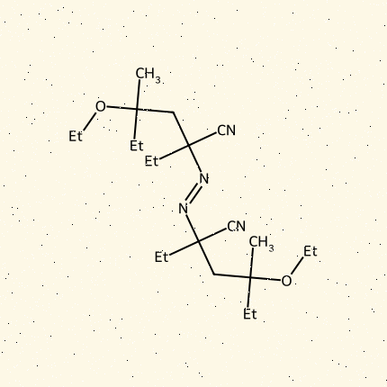 CCOC(C)(CC)CC(C#N)(CC)N=NC(C#N)(CC)CC(C)(CC)OCC